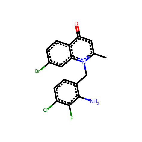 Cc1cc(=O)c2ccc(Br)cc2n1Cc1ccc(Cl)c(F)c1N